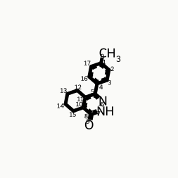 Cc1ccc(-c2n[nH]c(=O)c3c2CCCC3)cc1